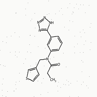 CCC(=O)N(Cc1ccsc1)c1cccc(-c2nnn[nH]2)c1